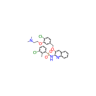 Cc1c(Cl)cccc1S(=O)(=O)Nc1nc2ccccc2cc1OCc1ccc(Cl)c(OCCN(C)C)c1